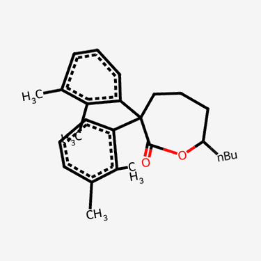 CCCCC1CCCC(c2cccc(C)c2C)(c2cccc(C)c2C)C(=O)O1